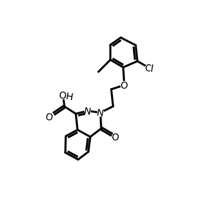 Cc1cccc(Cl)c1OCCn1nc(C(=O)O)c2ccccc2c1=O